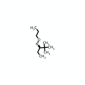 CCCON=C(CC)C(C)(C)C